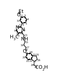 CCOc1cccc(-c2ncc(C)c(CNCCCOc3ccc4c(c3)CC[C@H]4CC(=O)O)n2)c1